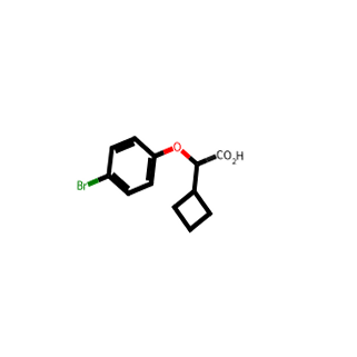 O=C(O)C(Oc1ccc(Br)cc1)C1CCC1